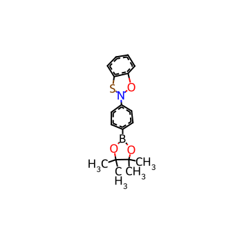 CC1(C)OB(c2ccc(N3Oc4ccccc4S3)cc2)OC1(C)C